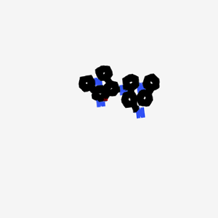 N#Cc1cc(-c2ccccc2-n2c3ccccc3c3ccccc32)cc(-n2c3ccc(C#N)cc3c3c(-n4c5ccccc5c5ccccc54)cccc32)c1